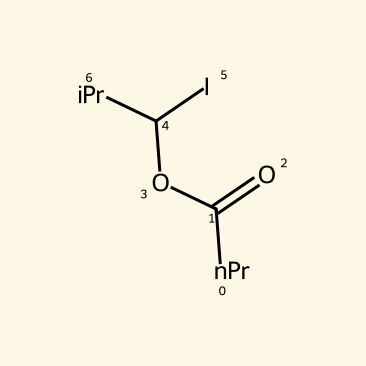 CCCC(=O)OC(I)C(C)C